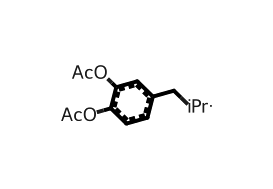 C[C](C)Cc1ccc(OC(C)=O)c(OC(C)=O)c1